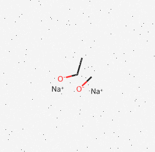 CC[O-].C[O-].[Na+].[Na+]